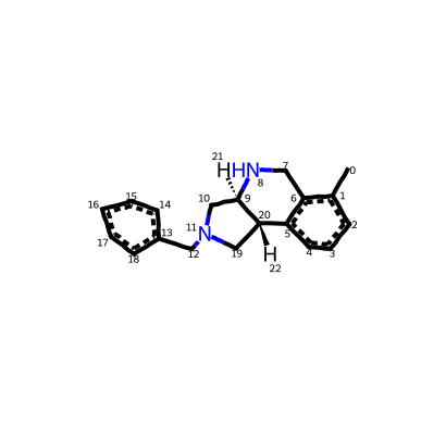 Cc1cccc2c1CN[C@@H]1CN(Cc3ccccc3)C[C@@H]21